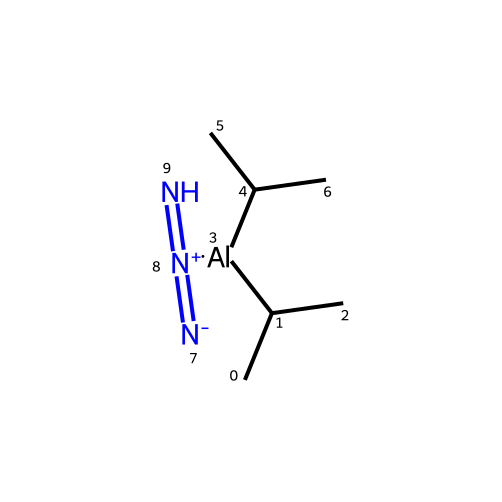 C[CH](C)[Al][CH](C)C.[N-]=[N+]=N